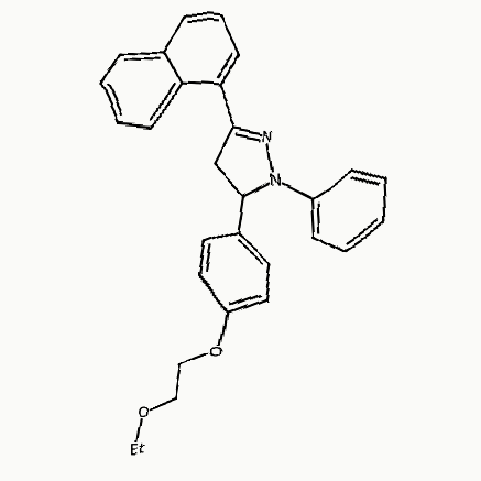 CCOCCOc1ccc(C2CC(c3cccc4ccccc34)=NN2c2ccccc2)cc1